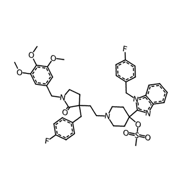 COc1cc(CN2CCC(CCN3CCC(OS(C)(=O)=O)(c4nc5ccccc5n4Cc4ccc(F)cc4)CC3)(Cc3ccc(F)cc3)C2=O)cc(OC)c1OC